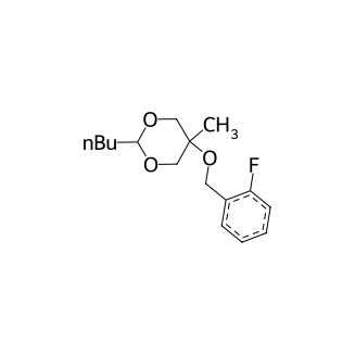 CCCCC1OCC(C)(OCc2ccccc2F)CO1